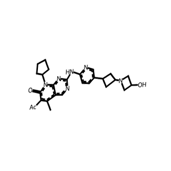 CC(=O)c1c(C)c2cnc(Nc3ccc(C4CC(N5CC(O)C5)C4)cn3)nc2n(C2CCCC2)c1=O